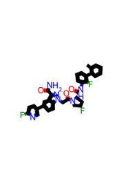 Cc1ccccc1-c1cccc(NC(=O)[C@@H]2C[C@@H](F)CN2C(=O)Cn2nc(C(N)=O)c3cc(-c4ccc(F)nc4)ccc32)c1F